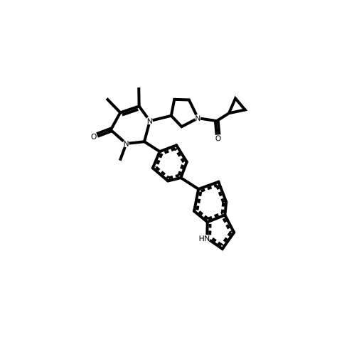 CC1=C(C)N(C2CCN(C(=O)C3CC3)C2)C(c2ccc(-c3ccc4cc[nH]c4c3)cc2)N(C)C1=O